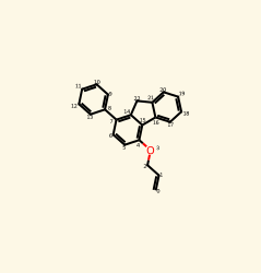 C=CCOc1ccc(-c2ccccc2)c2c1-c1ccccc1C2